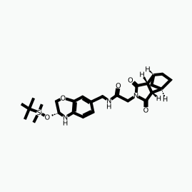 CC(C)(C)[Si](C)(C)O[C@@H]1COc2cc(CNC(=O)CN3C(=O)[C@@H]4[C@H]5CC[C@H](C5)[C@@H]4C3=O)ccc2N1